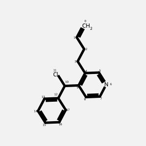 C=CCCc1cnccc1C(Cl)c1ccccc1